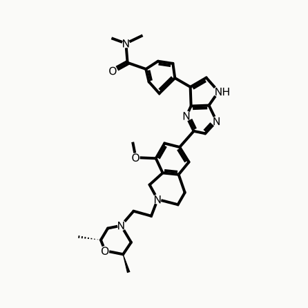 COc1cc(-c2cnc3[nH]cc(-c4ccc(C(=O)N(C)C)cc4)c3n2)cc2c1CN(CCN1C[C@@H](C)O[C@H](C)C1)CC2